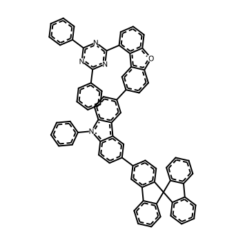 c1ccc(-c2nc(-c3ccccc3)nc(-c3cccc4oc5ccc(-c6ccc7c(c6)c6cc(-c8ccc9c(c8)-c8ccccc8C98c9ccccc9-c9ccccc98)ccc6n7-c6ccccc6)cc5c34)n2)cc1